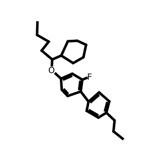 CCCCC(Oc1ccc(-c2ccc(CCC)cc2)c(F)c1)C1CCCCC1